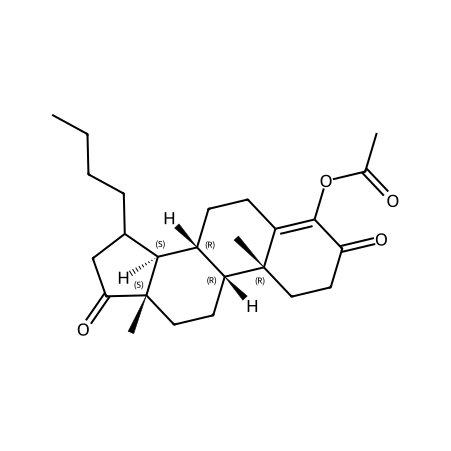 CCCCC1CC(=O)[C@@]2(C)CC[C@@H]3[C@@H](CCC4=C(OC(C)=O)C(=O)CC[C@@]43C)[C@H]12